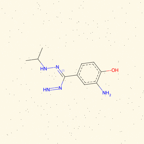 CC(C)N/N=C(\N=N)c1ccc(O)c(N)c1